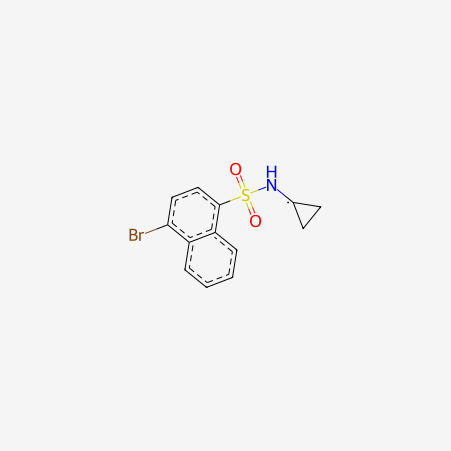 O=S(=O)(N[C]1CC1)c1ccc(Br)c2ccccc12